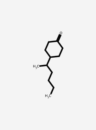 CCCCC(C)C1CCC(=O)CC1